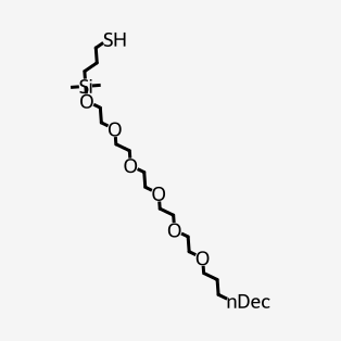 CCCCCCCCCCCCCOCCOCCOCCOCCOCCO[Si](C)(C)CCCS